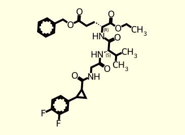 CCOC(=O)[C@@H](CCC(=O)OCc1ccccc1)NC(=O)[C@@H](NC(=O)CNC(=O)C1CC1c1ccc(F)c(F)c1)C(C)C